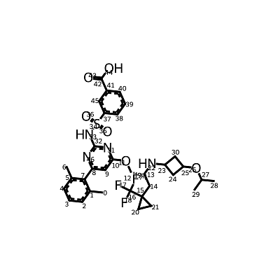 Cc1cccc(C)c1-c1cc(OC[C@@H](CC2(C(F)(F)F)CC2)NC2CC(OC(C)C)C2)nc(NS(=O)(=O)c2cccc(C(=O)O)c2)n1